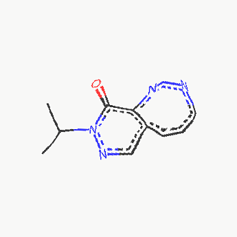 CC(C)n1ncc2ccnnc2c1=O